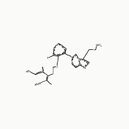 CCC/C=C(C)/C(CCOc1c(F)cccc1-c1ccc2ncc(CCN)n2c1)=C(/C)NC